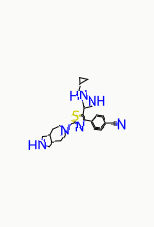 N#Cc1ccc(-c2nc(N3CCC4CNCC4CC3)sc2/C(C=N)=C/NCC2CC2)cc1